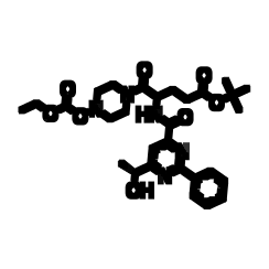 CCOC(=O)ON1CCN(C(=O)C(CCC(=O)OC(C)(C)C)NC(=O)c2cc([C@H](C)O)nc(-c3ccccc3)n2)CC1